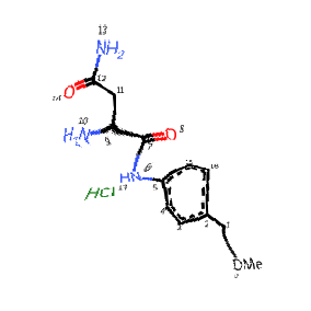 COCc1ccc(NC(=O)C(N)CC(N)=O)cc1.Cl